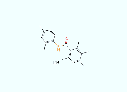 Cc1ccc(PC(=O)c2c(C)cc(C)c(C)c2C)c(C)c1.[LiH]